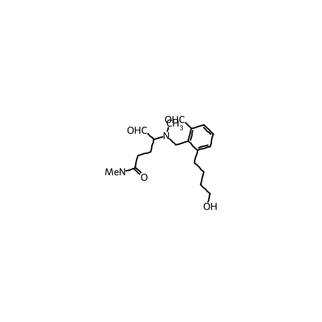 CNC(=O)CCC(C=O)N(C)Cc1c(C=O)cccc1CCCCO